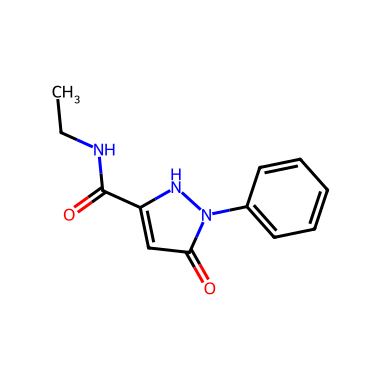 CCNC(=O)c1cc(=O)n(-c2ccccc2)[nH]1